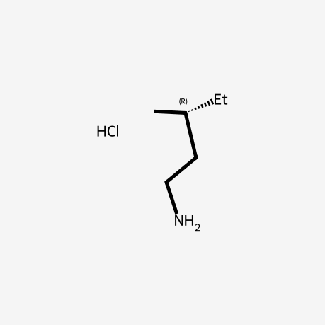 CC[C@@H](C)CCN.Cl